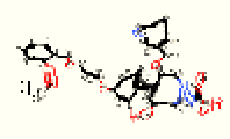 COc1ccccc1COCCCOc1ccc(C2C(O)CN(C(=O)O)CC2OCc2cccnc2)cc1